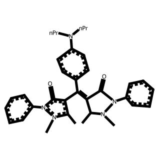 CCCN(CCC)c1ccc(/C(=C2\C(=O)N(c3ccccc3)N(C)C2C)c2c(C)n(C)n(-c3ccccc3)c2=O)cc1